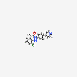 Cc1cc(-c2ccc(NC(=O)[C@H](C)c3cc(F)cc(Cl)c3)cc2)ccn1